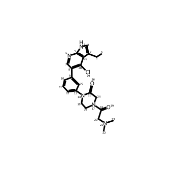 CCc1c[nH]c2ncc(-c3cccc(N4CCN(C(=O)CN(C)C)CC4=O)c3)c(Cl)c12